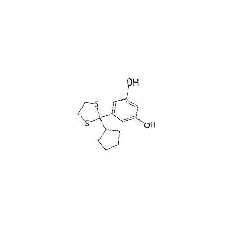 Oc1cc(O)cc(C2(C3CCCC3)SCCS2)c1